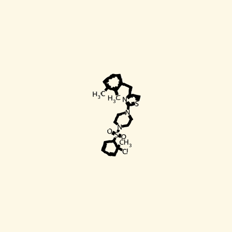 Cc1cccc(Cc2csc(N3CCN(S(=O)(=O)C4C=CC=CC4(C)Cl)CC3)n2)c1C